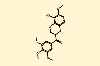 COc1ccc2c(c1O)OCC(C(=O)c1cc(OC)c(OC)c(OC)c1)C2